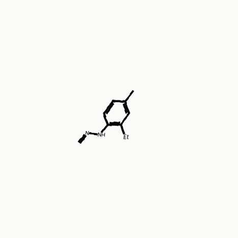 C=NNc1ccc(C)cc1CC